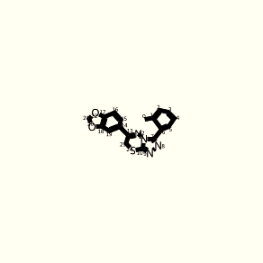 Cc1ccccc1-c1nnc2n1N=C(c1ccc3c(c1)OCO3)CS2